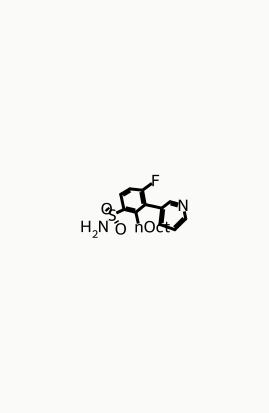 CCCCCCCCc1c(S(N)(=O)=O)ccc(F)c1-c1cccnc1